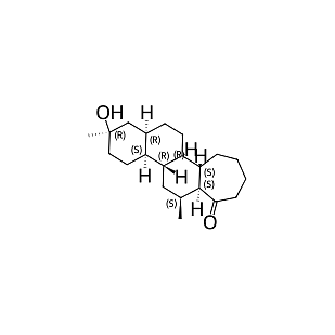 C[C@H]1C[C@H]2[C@@H](CC[C@@H]3C[C@](C)(O)CC[C@@H]32)[C@@H]2CCCCC(=O)[C@H]21